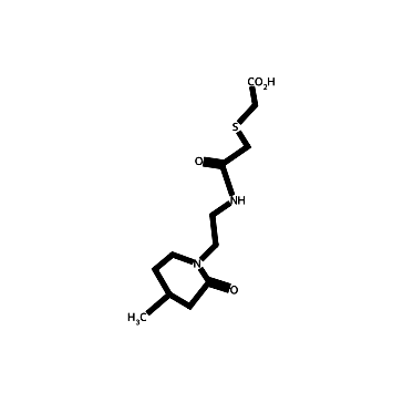 CC1CCN(CCNC(=O)CSCC(=O)O)C(=O)C1